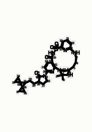 CC1(C)C[C@@H]2CCCNc3cccc(n3)S(=O)(=O)NC(=O)c3ccc(N4CCC(CCC5C6(CC6)C56CC6)C4=O)nc3N1C2